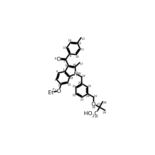 CCOc1ccc2c(C(=O)c3ccc(C)cc3)c(C)n(Cc3cccc(COC(C)(C)C(=O)O)c3)c2c1